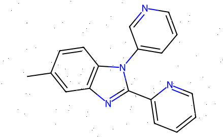 Cc1ccc2c(c1)nc(-c1ccccn1)n2-c1cccnc1